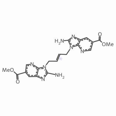 COC(=O)c1cnc2c(c1)nc(N)n2C/C=C/Cn1c(N)nc2cc(C(=O)OC)cnc21